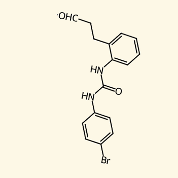 O=[C]CCc1ccccc1NC(=O)Nc1ccc(Br)cc1